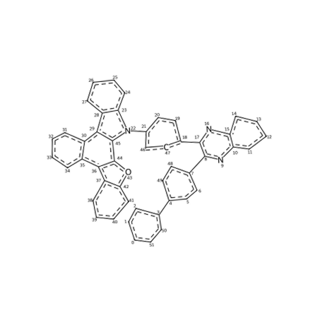 c1ccc(-c2ccc(-c3nc4ccccc4nc3-c3ccc(-n4c5ccccc5c5c6ccccc6c6c7ccccc7oc6c54)cc3)cc2)cc1